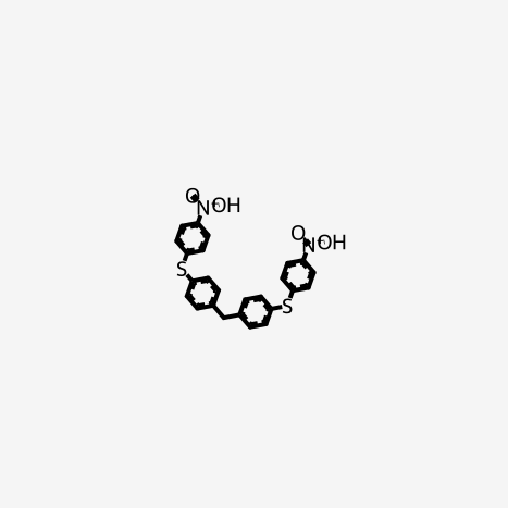 O=[N+](O)c1ccc(Sc2ccc(Cc3ccc(Sc4ccc([N+](=O)O)cc4)cc3)cc2)cc1